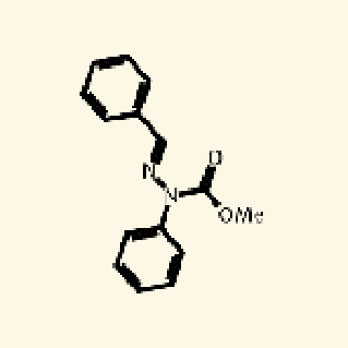 COC(=O)N(/N=C/c1ccccc1)c1ccccc1